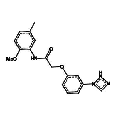 COc1ccc(C)cc1NC(=O)COc1cccc(-n2cn[nH]2)c1